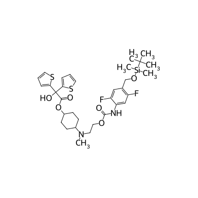 CN(CCOC(=O)Nc1cc(F)c(CO[Si](C)(C)C(C)(C)C)cc1F)C1CCC(OC(=O)C(O)(c2cccs2)c2cccs2)CC1